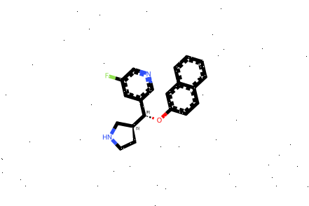 Fc1cncc([C@H](Oc2ccc3ccccc3c2)[C@H]2CCNC2)c1